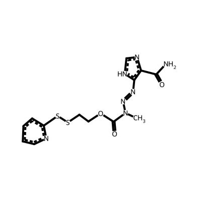 CN(/N=N/c1[nH]cnc1C(N)=O)C(=O)OCCSSc1ccccn1